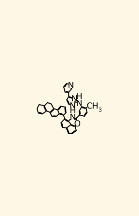 Cc1ccc(C(=O)Nc2c(-c3cccc4c5c(ccc34)C3=C(CCC=C3)CC5)ccc3ccccc23)cc1Nc1nccc(-c2cccnc2)n1